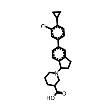 O=C(O)C1CCCN(C2CCc3cc(-c4ccc(C5CC5)c(Cl)c4)ccc32)C1